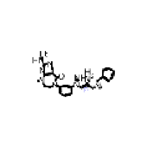 CCNc1ncc2c(n1)N(C)CCN(c1cccc(N(N)/C=C(\N)CN(C)Cc3ccccc3)c1)C2=O